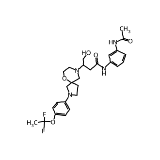 CC(=O)Nc1cccc(NC(=O)CC(CO)N2CCOC3(CCN(c4ccc(OC(C)(F)F)cc4)C3)C2)c1